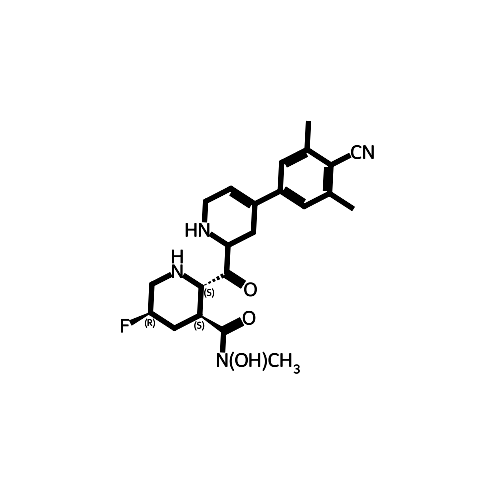 Cc1cc(C2=CCNC(C(=O)[C@H]3NC[C@H](F)C[C@@H]3C(=O)N(C)O)C2)cc(C)c1C#N